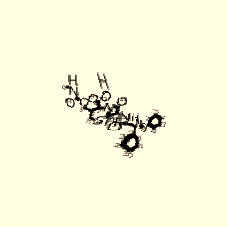 CNC(=O)OCC1=C(C(=O)O)N2C(=O)[C@@H](NC(=O)C(=NOc3ccccc3)c3ccccc3)[C@H]2SC1